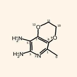 Cc1nc(N)c(N)c2c1OCCO2